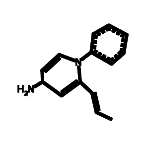 CC=CC1=CC(N)C=CN1c1ccccc1